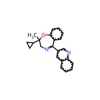 CC1(C2CC2)CN=C(c2cnc3ccccc3c2)c2ccccc2O1